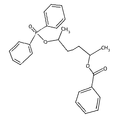 CC(CCC(C)OP(=O)(c1ccccc1)c1ccccc1)OC(=O)c1ccccc1